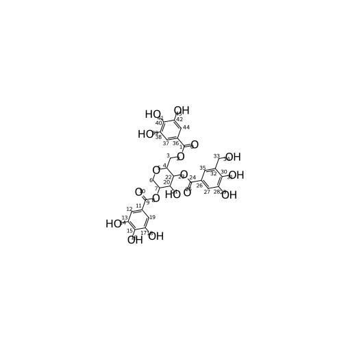 O=C(OCC1OCC(OC(=O)c2cc(O)c(O)c(O)c2)C(O)C1OC(=O)c1cc(O)c(O)c(CO)c1)c1cc(O)c(O)c(O)c1